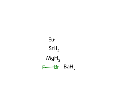 FBr.[BaH2].[Eu].[MgH2].[SrH2]